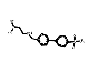 CCN(CC)CCNCc1ccc(-c2ccc(S(=O)(=O)C(F)(F)F)cc2)cc1